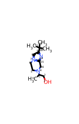 CC(CO)N1CCn2cc(C(C)(C)C)nc2C1